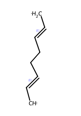 [CH]/C=C/CC/C=C/[CH2]